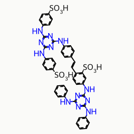 O=S(=O)(O)c1ccc(Nc2nc(Nc3ccc(C=Cc4ccc(Nc5nc(Nc6ccccc6)nc(Nc6ccccc6)n5)cc4S(=O)(=O)O)cc3)nc(Nc3ccc(S(=O)(=O)O)cc3)n2)cc1